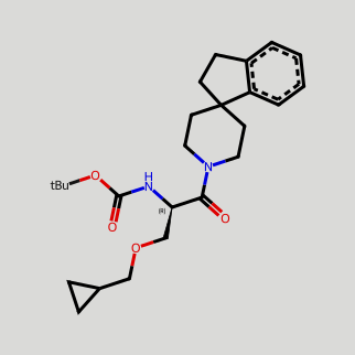 CC(C)(C)OC(=O)N[C@H](COCC1CC1)C(=O)N1CCC2(CCc3ccccc32)CC1